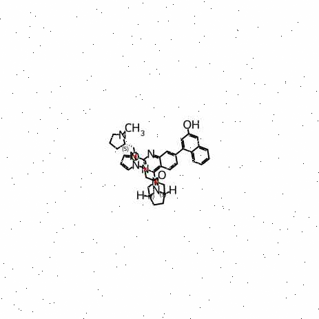 CN1CCC[C@H]1COc1nc(N2C[C@H]3CC[C@@H](C2)N3C(=O)CCn2cccn2)c2ccc(-c3cc(O)cc4ccccc34)cc2n1